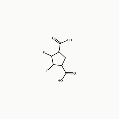 O=C(O)C1CN(C(=O)O)C(F)C1F